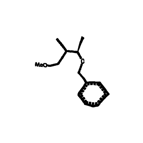 COCC(C)[C@@H](C)OCc1ccccc1